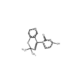 CC1(C)C=C(n2ccc(O)nc2=O)c2cnccc2O1